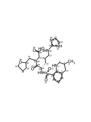 CC1CNc2c(cccc2S(=O)(=O)N[C@@H](CCCNc2ncc[nH]2)C(=O)N(CC(=O)O)CC2CCCO2)C1